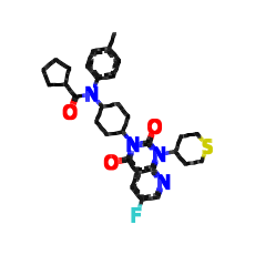 Cc1ccc(N(C(=O)C2CCCC2)C2CCC(n3c(=O)c4cc(F)cnc4n(C4CCSCC4)c3=O)CC2)cc1